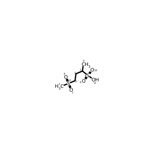 CC(CCS(C)(=O)=O)S(=O)(=O)O